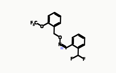 FC(F)c1ccccc1/[C]=N\OCc1ccccc1OC(F)(F)F